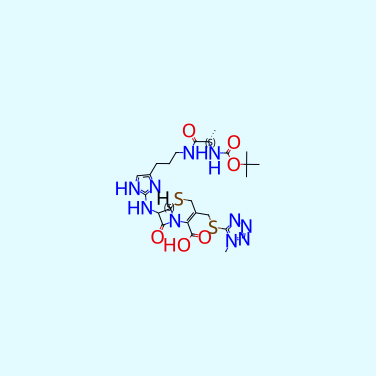 C[C@H](NC(=O)OC(C)(C)C)C(=O)NCCCc1c[nH]c(NC2C(=O)N3C(C(=O)O)=C(CSc4nnnn4C)CS[C@@H]23)n1